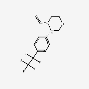 O=CN1CCOC[C@@H]1c1ccc(C(F)(F)C(F)(F)F)cc1